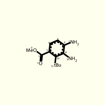 COC(=O)c1ccc(N)c(N)c1C(C)(C)C